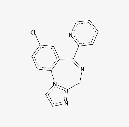 Clc1ccc2c(c1)C(c1ccccn1)=NCc1nccn1-2